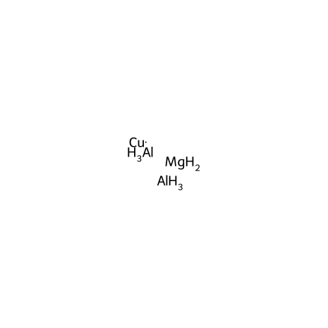 [AlH3].[AlH3].[Cu].[MgH2]